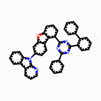 c1ccc(-c2nc(-c3ccccc3-c3ccccc3)nc(-c3cccc4oc5cc(-n6c7ccccc7c7cccnc76)ccc5c34)n2)cc1